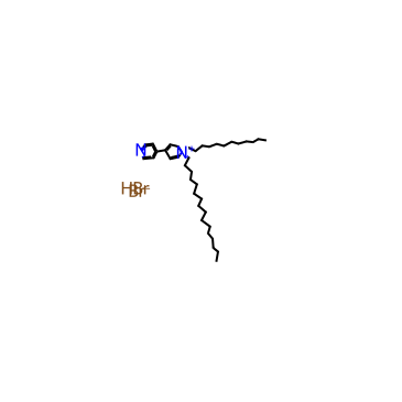 Br.CCCCCCCCCCCCCCCC[N+]1(CCCCCCCCCCCC)C=CC(c2ccncc2)=CC1.[Br-]